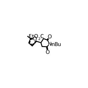 CCCCN1C(=O)CC(c2ccc(C)o2)C(C(=O)OCC)C1=O